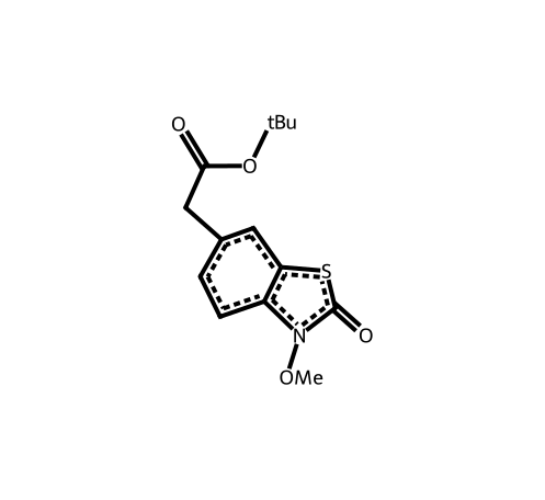 COn1c(=O)sc2cc(CC(=O)OC(C)(C)C)ccc21